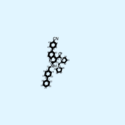 N#Cc1ccc(-c2ccc3nc(NCc4ccc(-c5ccccc5)cc4)cc(C(=O)N4CCC[C@H]4CN4CCCC4)c3c2)cc1